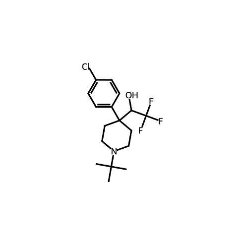 CC(C)(C)N1CCC(c2ccc(Cl)cc2)(C(O)C(F)(F)F)CC1